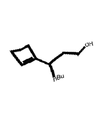 CCCCC(CCO)C1=CCC1